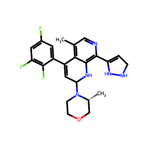 Cc1cnc(C2=CCNN2)c2c1C(c1cc(F)cc(F)c1F)=CC(N1CCOC[C@H]1C)N2